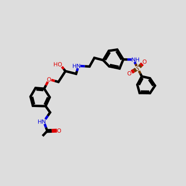 CC(=O)NCc1cccc(OCC(O)CNCCc2ccc(NS(=O)(=O)c3ccccc3)cc2)c1